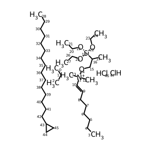 CCC.CCCCCCC=C[N+](C)(C)OCC(C)[Si](OCC)(OCC)OCC.CCCCCCCCCCCCCCCC1CC1.Cl.Cl